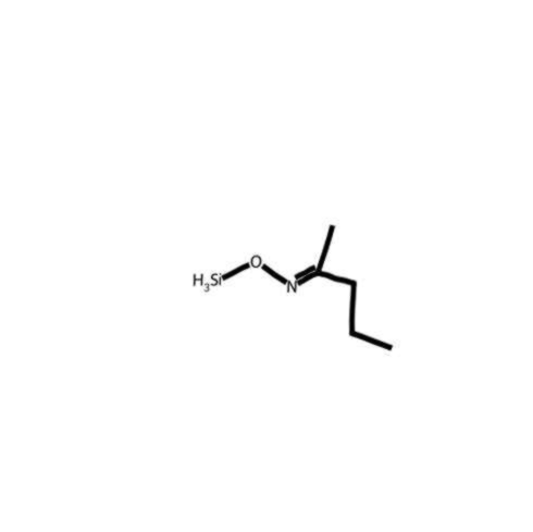 CCCC(C)=NO[SiH3]